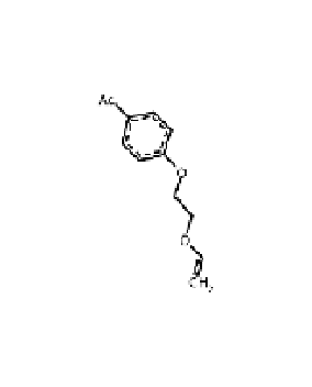 C=COCCOc1ccc(C(C)=O)cc1